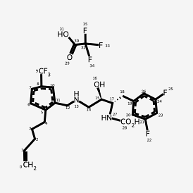 C=CCCCc1ccc(C(F)(F)F)cc1CNC[C@@H](O)[C@H](Cc1cc(F)cc(F)c1)NC(=O)O.O=C(O)C(F)(F)F